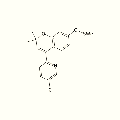 CSOc1ccc2c(c1)OC(C)(C)C=C2c1ccc(Cl)cn1